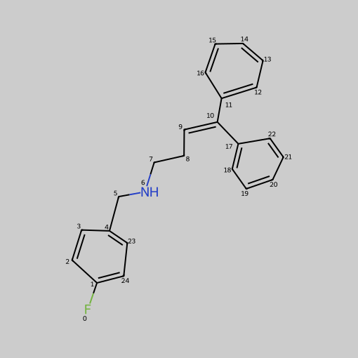 Fc1ccc(CNCCC=C(c2ccccc2)c2ccccc2)cc1